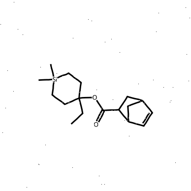 CCC1(OC(=O)C2CC3C=CC2C3)CC[Si](C)(C)CC1